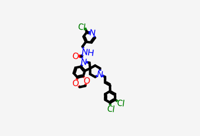 O=C(NCc1ccnc(Cl)c1)N1CC2(CCN(CC=Cc3ccc(Cl)c(Cl)c3)CC2)c2c1ccc1c2OCCO1